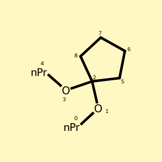 CCCOC1(OCCC)CCCC1